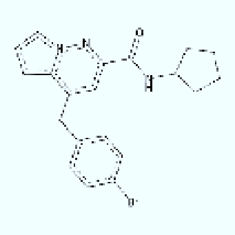 O=C(NC1CCCC1)c1cc(Cc2ccc(Br)cc2)c2cccn2n1